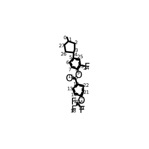 CC1CCC(c2ccc(OC(=O)c3ccc(OC(F)(F)F)cc3)c(F)c2)CC1